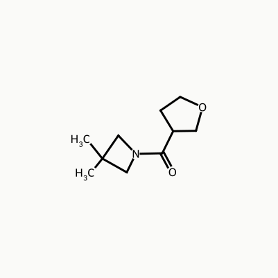 CC1(C)CN(C(=O)C2CCOC2)C1